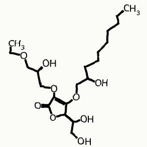 CCCCCCCCC(O)COC1=C(OCC(O)COCC)C(=O)OC1C(O)CO